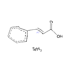 O=C(O)/C=C/c1ccccc1.[SrH2]